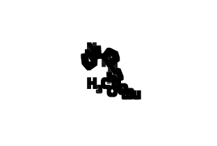 C[C@@H]1CN(c2cccc(-c3cnn4ccccc34)n2)CCN1C(=O)OC(C)(C)C